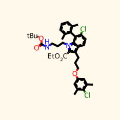 CCOC(=O)c1c(CCCOc2cc(C)c(Cl)c(C)c2)c2ccc(Cl)c(-c3c(C)cccc3C)c2n1CCCNC(=O)OC(C)(C)C